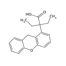 CCC(CC)(C(=O)O)c1cccc2c1Cc1ccccc1O2